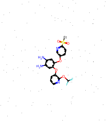 CCS(=O)(=O)c1ccc(Oc2cc(N)c(N)cc2Oc2cccnc2OC(F)F)cn1